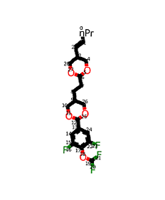 CCC/C=C/C1COC(CCC2COC(c3cc(F)c(OC(F)F)c(F)c3)OC2)OC1